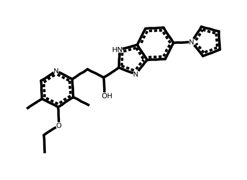 CCOc1c(C)cnc(CC(O)c2nc3cc(-n4cccc4)ccc3[nH]2)c1C